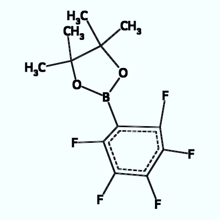 CC1(C)OB(c2c(F)c(F)c(F)c(F)c2F)OC1(C)C